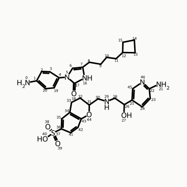 Nc1ccc(-n2cc(CCCCC3CCC3)[nH]c2=O)cc1.Nc1ccc(C(O)CNCC2CCc3cc(S(=O)(=O)O)ccc3O2)cn1